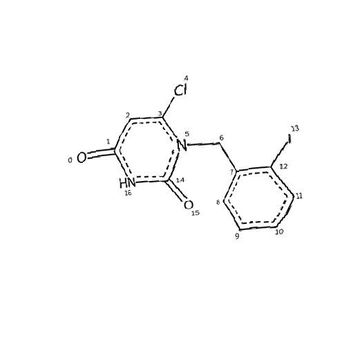 O=c1cc(Cl)n(Cc2ccccc2I)c(=O)[nH]1